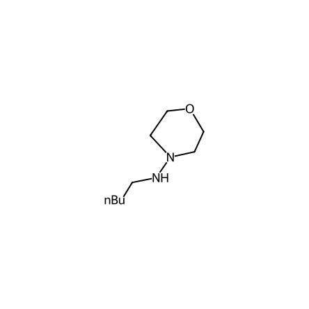 [CH2]CCCCNN1CCOCC1